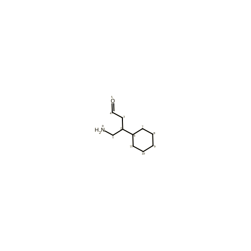 NCC(C[C]=O)C1CCCCC1